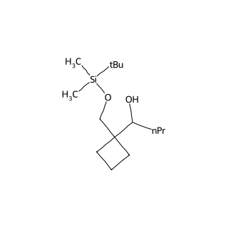 CCCC(O)C1(CO[Si](C)(C)C(C)(C)C)CCC1